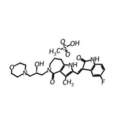 CS(=O)(=O)O.Cc1c(C=C2C(=O)Nc3ccc(F)cc32)[nH]c2c1C(=O)N(C[C@H](O)CN1CCOCC1)CCC2